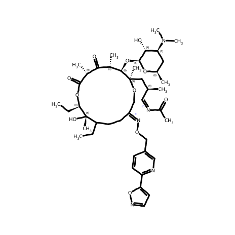 CCC1CC/C(=N\OCc2ccc(-c3ccno3)nc2)CO[C@](C)(C[C@@H](C)/C=N\C(C)=O)[C@H](O[C@@H]2O[C@H](C)C[C@H](N(C)C)[C@H]2O)[C@@H](C)C(=O)[C@@H](C)C(=O)O[C@H](CC)[C@@]1(C)O